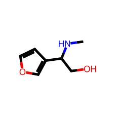 CNC(CO)c1ccoc1